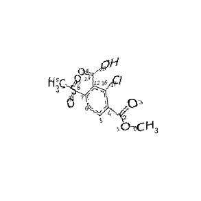 COC(=O)c1ccc(S(C)(=O)=O)c(C(=O)O)c1Cl